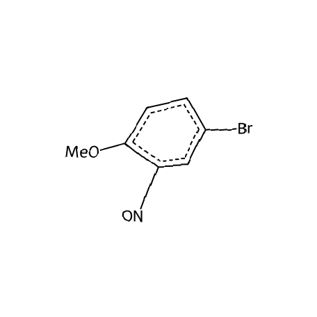 COc1ccc(Br)cc1N=O